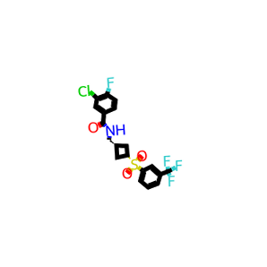 O=C(NC[C@H]1C[C@@H](S(=O)(=O)c2cccc(C(F)(F)F)c2)C1)c1ccc(F)c(Cl)c1